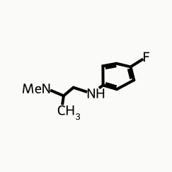 CNC(C)CNc1ccc(F)cc1